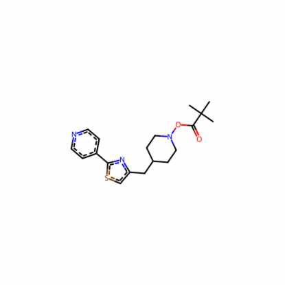 CC(C)(C)C(=O)ON1CCC(Cc2csc(-c3ccncc3)n2)CC1